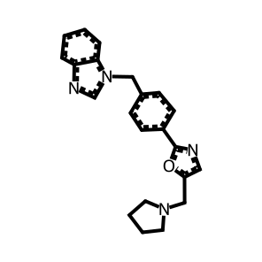 c1ccc2c(c1)ncn2Cc1ccc(-c2ncc(CN3CCCC3)o2)cc1